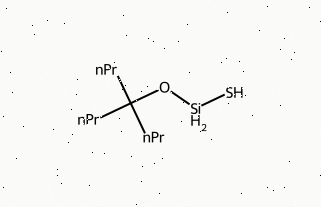 CCCC(CCC)(CCC)O[SiH2]S